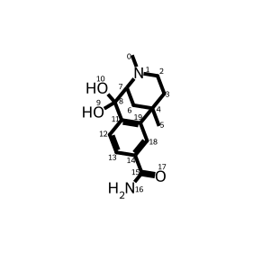 CN1CCC2(C)CC1C(O)(O)c1ccc(C(N)=O)cc12